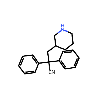 N#CC(CC1CCCNC1)(c1ccccc1)c1ccccc1